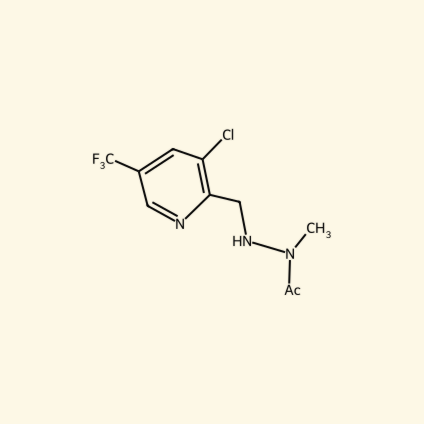 CC(=O)N(C)NCc1ncc(C(F)(F)F)cc1Cl